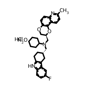 Cc1ccc2c3c(ccc2n1)OC[C@H](CN(C[C@H]1CCc2[nH]c4ccc(F)cc4c2C1)C1CCCCC1)O3.Cl.O